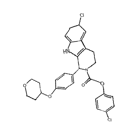 O=C(Oc1ccc(Cl)cc1)N1CCc2c([nH]c3c2=CC(Cl)CC=3)C1c1ccc(OC2CCOCC2)cc1